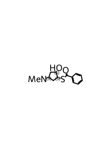 CN[C@@H]1C[C@H](SC(=O)c2ccccc2)[C@@H](O)C1